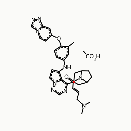 CC(=O)O.Cc1cc(Nc2ccn3ncnc(C4CC5CCC(C4)N5C(=O)/C=C/CN(C)C)c23)ccc1Oc1ccn2cnnc2c1